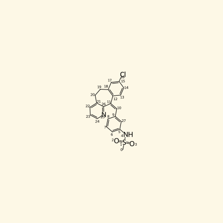 CS(=O)(=O)Nc1cccc(C=C2c3ccc(Cl)cc3CCc3cccnc32)c1